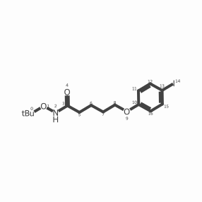 CC(C)(C)ONC(=O)CCCCOc1ccc(I)cc1